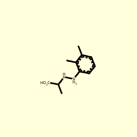 Cc1cccc([SiH2]NC(C)C(=O)O)c1C